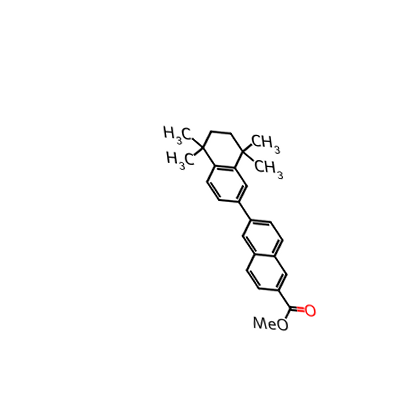 COC(=O)c1ccc2cc(-c3ccc4c(c3)C(C)(C)CCC4(C)C)ccc2c1